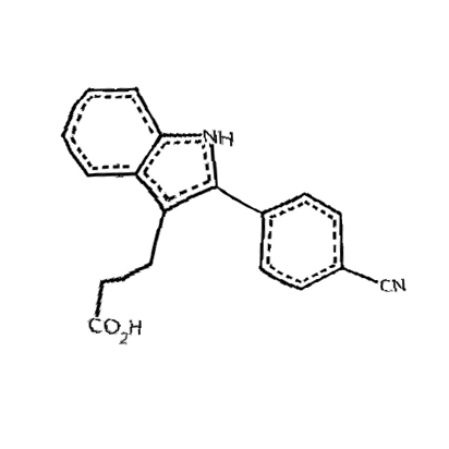 N#Cc1ccc(-c2[nH]c3ccccc3c2CCC(=O)O)cc1